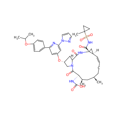 CC(C)Oc1ccc(-c2cc(O[C@@H]3C[C@H]4C(=O)N[C@]5(C(=O)NS(=O)(=O)C6(C)CC6)C[C@H]5/C=C\CC[C@@H](C)C[C@@H](C)[C@H](NC(=O)O)C(=O)N4C3)cc(-n3cccn3)n2)cc1